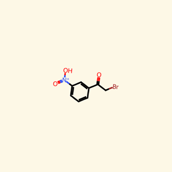 O=C(CBr)c1cccc([N+](=O)O)c1